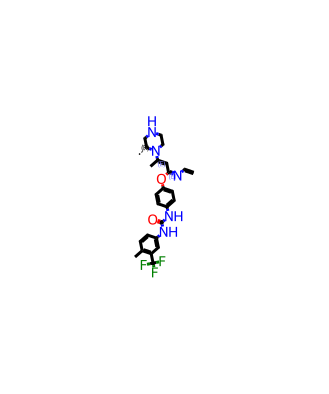 C=C/N=C(\C=C(/C)N1CCNC[C@H]1C)Oc1ccc(NC(=O)Nc2ccc(C)c(C(F)(F)F)c2)cc1